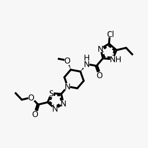 CCOC(=O)c1nnc(N2CC[C@@H](NC(=O)c3nc(Cl)c(CC)[nH]3)[C@@H](OC)C2)s1